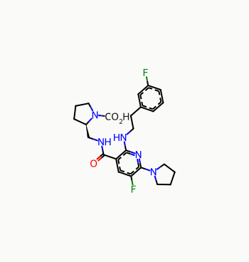 O=C(NC[C@H]1CCCN1C(=O)O)c1cc(F)c(N2CCCC2)nc1NCCc1cccc(F)c1